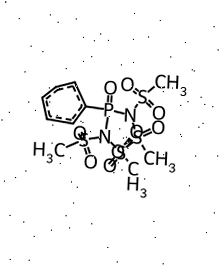 CS(=O)(=O)N(P(=O)(c1ccccc1)N(S(C)(=O)=O)S(C)(=O)=O)S(C)(=O)=O